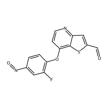 O=Cc1cc2nccc(Oc3ccc(N=O)cc3F)c2s1